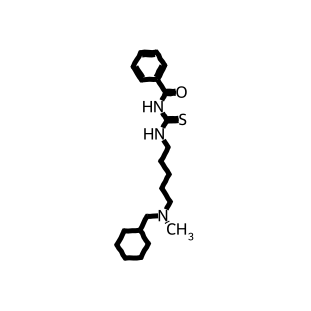 CN(CCCCCNC(=S)NC(=O)c1ccccc1)CC1CCCCC1